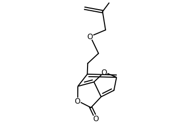 C=C(C)COCCc1c2c3oc1cc3C(=O)O2